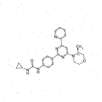 C[C@H]1COCCN1c1cc(-c2ccccn2)nc(-c2ccc(NC(=O)NC3CC3)cc2)n1